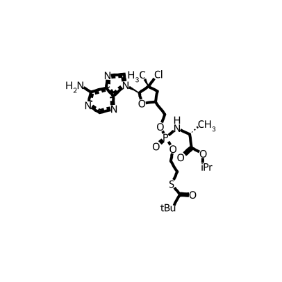 CC(C)OC(=O)[C@@H](C)NP(=O)(OCCSC(=O)C(C)(C)C)OCC1C[C@@](C)(Cl)[C@H](n2cnc3c(N)ncnc32)O1